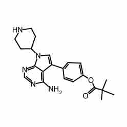 CC(C)(C)C(=O)Oc1ccc(-c2cn(C3CCNCC3)c3ncnc(N)c23)cc1